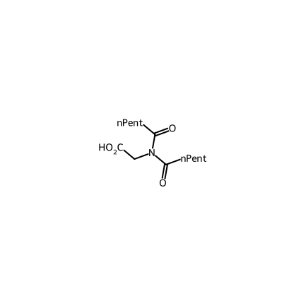 CCCCCC(=O)N(CC(=O)O)C(=O)CCCCC